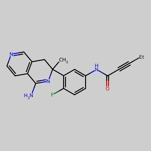 CCC#CC(=O)Nc1ccc(F)c(C2(C)Cc3cnccc3C(N)=N2)c1